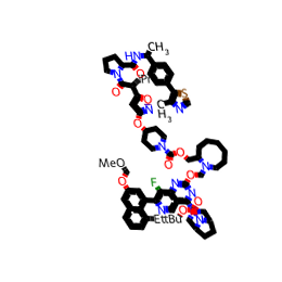 CCc1cccc2cc(OCOC)cc(-c3ncc4c(N5CC6CCC(C5)N6C(=O)OC(C)(C)C)nc(OCN5CCCCCCC5COC(=O)N5CCC(Oc6cc(C(C(=O)N7CCCC7C(=O)NC(C)c7ccc(-c8scnc8C)cc7)C(C)C)on6)CC5)nc4c3F)c12